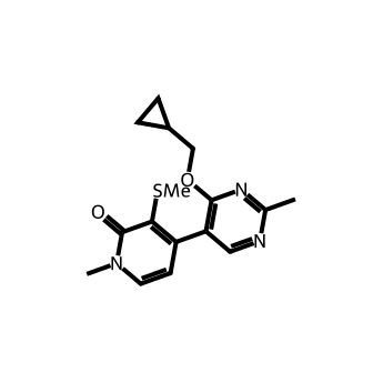 CSc1c(-c2cnc(C)nc2OCC2CC2)ccn(C)c1=O